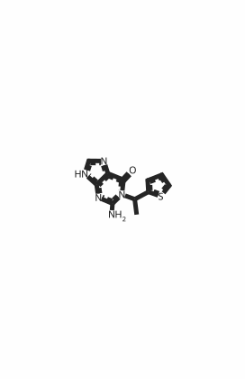 CC(c1cccs1)n1c(N)nc2[nH]cnc2c1=O